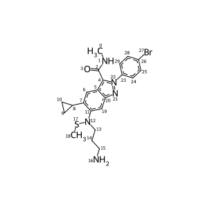 CNC(=O)c1c2cc(C3CC3)c(N(CCCN)SC)cc2nn1-c1ccc(Br)cc1